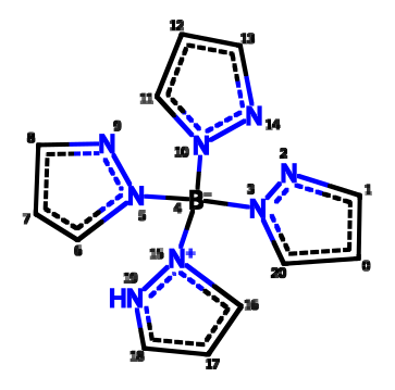 c1cnn([B-](n2cccn2)(n2cccn2)[n+]2ccc[nH]2)c1